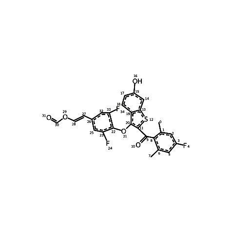 Cc1cc(F)cc(C)c1C(=O)c1sc2cc(O)ccc2c1Oc1c(F)cc(/C=C/OC=O)cc1F